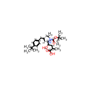 CC[C@@H](Cc1ccc(C(C)(C)C)cc1)C[C@H](NC(=O)OC(C)(C)C)[C@@H](O)CC(C)C(=O)O